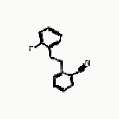 N#Cc1ccccc1CCc1ccccc1Cl